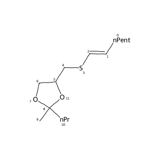 CCCCCC=CSCC1COC(C)(CCC)O1